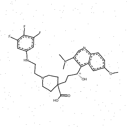 COc1ccc2ncc(N(C)C)c([C@H](O)CCC3(C(=O)O)CCN(CCNc4cc(F)c(F)c(F)c4)CC3)c2c1